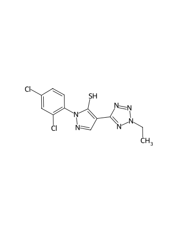 CCn1nnc(-c2cnn(-c3ccc(Cl)cc3Cl)c2S)n1